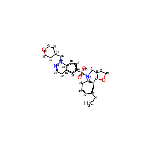 CCC1=CC=C(N(CC2CCOC2)S(=O)(=O)c2ccc3c(c2)CC=NN3CC2CCOCC2)CC=C1